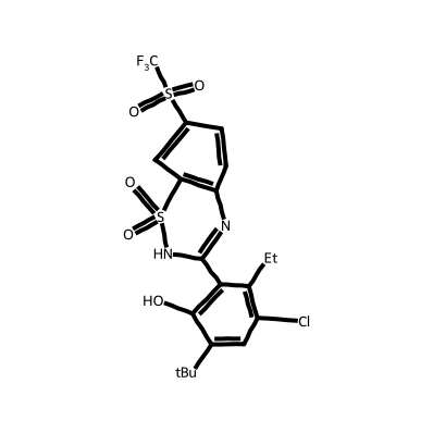 CCc1c(Cl)cc(C(C)(C)C)c(O)c1C1=Nc2ccc(S(=O)(=O)C(F)(F)F)cc2S(=O)(=O)N1